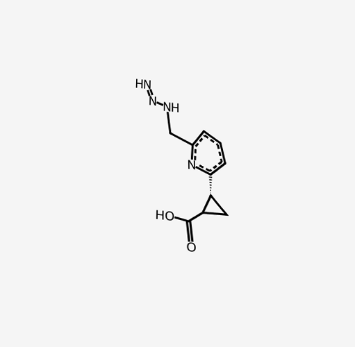 N=NNCc1cccc([C@@H]2CC2C(=O)O)n1